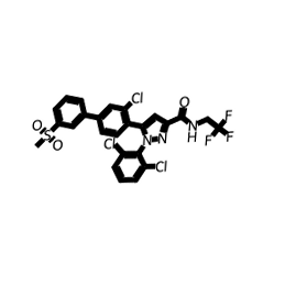 CS(=O)(=O)c1cccc(-c2ccc(-c3cc(C(=O)NCC(F)(F)F)nn3-c3c(Cl)cccc3Cl)c(Cl)c2)c1